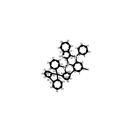 Cc1cc2c3c(c1)N(c1ccccc1)c1c(sc4ccccc14)B3N1c3ccccc3C3(c4ccccc4-c4ccccc43)c3cccc-2c31